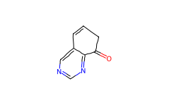 O=C1CC=Cc2cncnc21